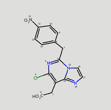 O=C(O)Cc1c(Cl)nc(Cc2ccc([N+](=O)[O-])cc2)n2ccnc12